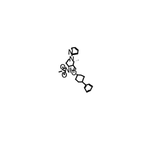 C[C@@H]1C(COC2CCC(c3ccccc3)CC2)[C@@H](NS(C)(=O)=O)CCN1c1ccccn1